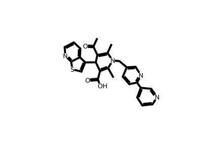 CC(=O)C1=C(C)N(Cc2ccc(-c3cccnc3)nc2)C(C)=C(C(=O)O)C1c1csc2ncccc12